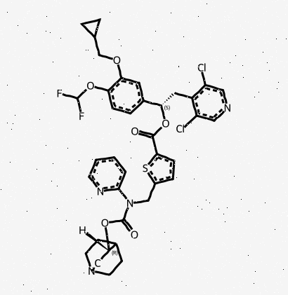 O=C(O[C@@H](Cc1c(Cl)cncc1Cl)c1ccc(OC(F)F)c(OCC2CC2)c1)c1ccc(CN(C(=O)O[C@H]2CN3CCC2CC3)c2ccccn2)s1